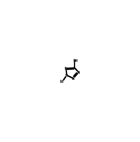 CCn1nnc(S)n1